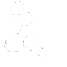 C=C1/C(c2cnn(C)c2)=C\N/N=C\C=C/1N1CCCC2(CCCCN2)C1